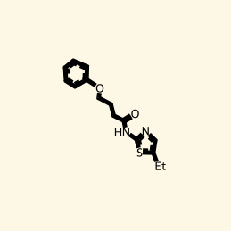 CCc1cnc(NC(=O)CCCOc2ccccc2)s1